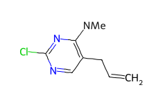 C=CCc1cnc(Cl)nc1NC